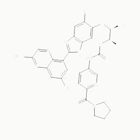 COc1cnc2c(-c3nc4cc(F)c(O[C@@H](C)[C@@H](C)OC(=O)Nc5ccc(C(=O)N6CC[C@H](C)C6)nc5)cc4s3)cc(C)cc2n1